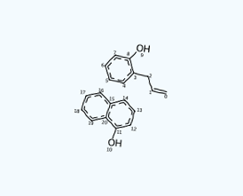 C=CCc1ccccc1O.Oc1cccc2ccccc12